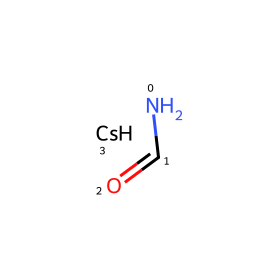 NC=O.[CsH]